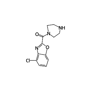 O=C(c1nc2c(Cl)cccc2o1)N1CCNCC1